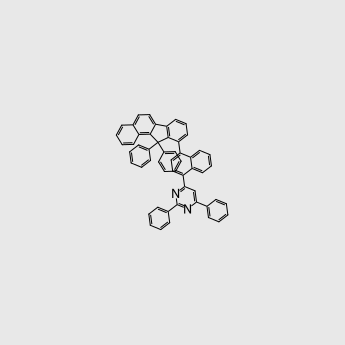 c1ccc(-c2cc(-c3ccc(-c4cccc5c4C(c4ccccc4)(c4ccccc4)c4c-5ccc5ccccc45)c4ccccc34)nc(-c3ccccc3)n2)cc1